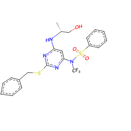 C[C@H](CO)Nc1cc(N(C(F)(F)F)S(=O)(=O)c2ccccc2)nc(SCc2ccccc2)n1